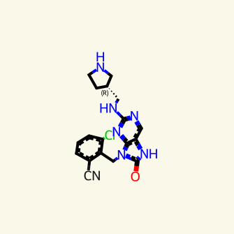 N#Cc1cccc(Cl)c1Cn1c(=O)[nH]c2cnc(NC[C@@H]3CCNC3)nc21